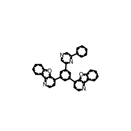 c1ccc(-c2cncc(-c3cc(-c4ccnc5c4oc4ccccc45)cc(-c4ccnc5c4oc4ccccc45)c3)n2)cc1